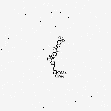 COc1ccc(CCN2CCC(NS(=O)(=O)c3ccc(N(C)C(=O)C=Cc4ccc(S(C)(=O)=O)cc4)cc3)CC2)cc1OC